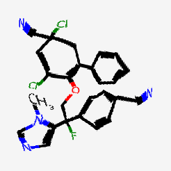 Cn1cncc1C(F)(COC1=C(c2ccccc2)CC(Cl)(C#N)C=C1Cl)c1ccc(C#N)cc1